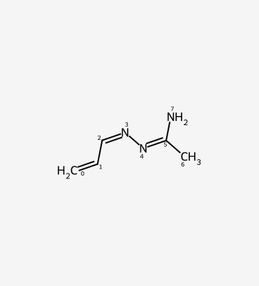 C=C/C=N\N=C(\C)N